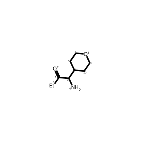 CCC(=O)C(N)C1CCOCC1